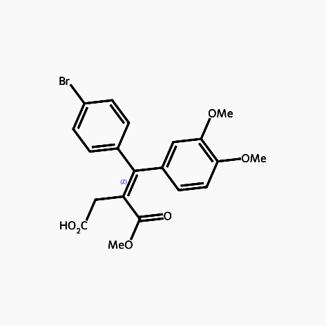 COC(=O)/C(CC(=O)O)=C(/c1ccc(Br)cc1)c1ccc(OC)c(OC)c1